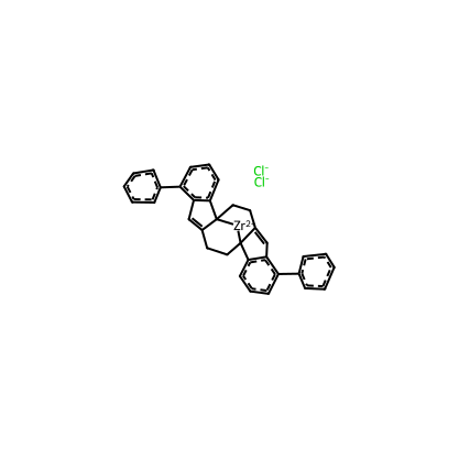 C1=C2CC[C]34[Zr+2][C]2(CCC3=Cc2c(-c3ccccc3)cccc24)c2cccc(-c3ccccc3)c21.[Cl-].[Cl-]